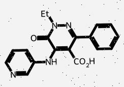 CCn1nc(-c2ccccc2)c(C(=O)O)c(Nc2cccnc2)c1=O